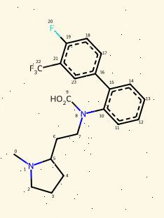 CN1CCCC1CCN(C(=O)O)c1ccccc1-c1ccc(F)c(C(F)(F)F)c1